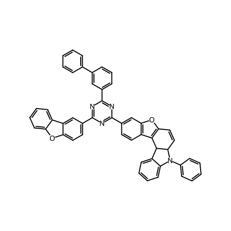 C1=CC2C(c3ccccc3N2c2ccccc2)c2c1oc1cc(-c3nc(-c4cccc(-c5ccccc5)c4)nc(-c4ccc5oc6ccccc6c5c4)n3)ccc21